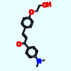 CN(C)c1ccc(C(=O)C=Cc2ccc(OCCO)cc2)cc1